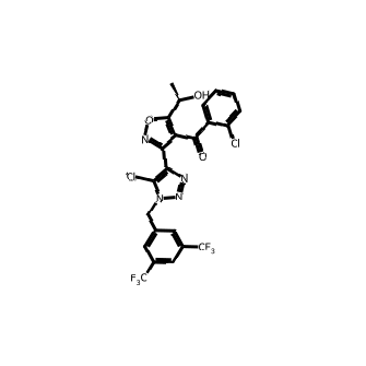 C[C@@H](O)c1onc(-c2nnn(Cc3cc(C(F)(F)F)cc(C(F)(F)F)c3)c2Cl)c1C(=O)c1ccccc1Cl